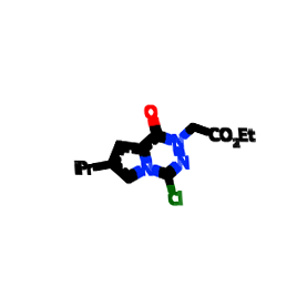 CCOC(=O)Cn1nc(Cl)n2cc(C(C)C)cc2c1=O